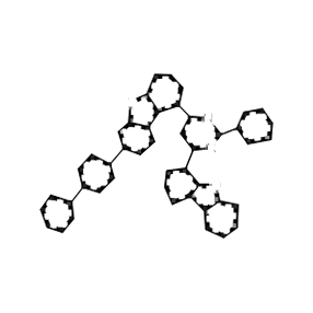 c1ccc(-c2ccc(-c3ccc4c(c3)sc3cccc(-c5cc(-c6cccc7c6oc6ccccc67)nc(-c6ccccc6)n5)c34)cc2)cc1